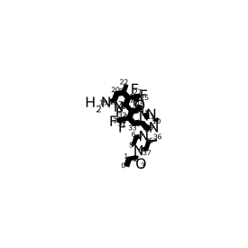 C=CC(=O)N1CCN(c2ncnn3c(=O)c(-c4nc(N)cc(C)c4C(F)(F)F)c(C(F)(F)F)cc23)[C@@H](C)C1